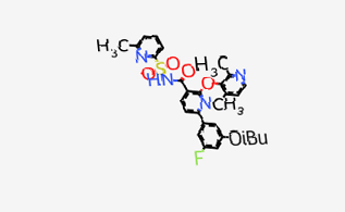 Cc1cccc(S(=O)(=O)NC(=O)c2ccc(-c3cc(F)cc(OCC(C)C)c3)nc2Oc2c(C)ccnc2C)n1